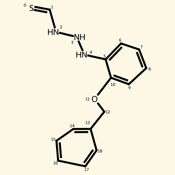 S=CNNNc1ccccc1OCc1ccccc1